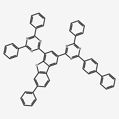 c1ccc(-c2ccc(-c3nc(-c4ccccc4)nc(-c4cc(-c5nc(-c6ccccc6)nc(-c6ccccc6)n5)c5oc6cc(-c7ccccc7)ccc6c5c4)n3)cc2)cc1